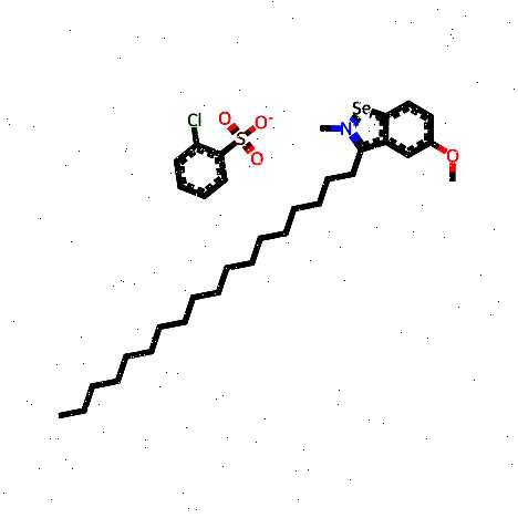 CCCCCCCCCCCCCCCCCCc1c2cc(OC)ccc2[se][n+]1C.O=S(=O)([O-])c1ccccc1Cl